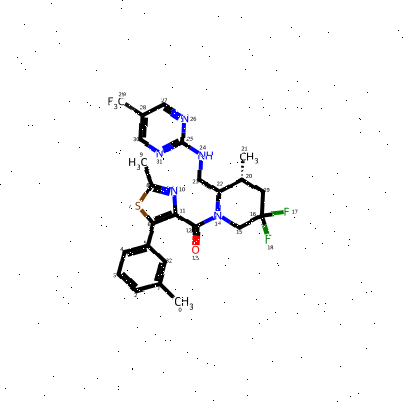 Cc1cccc(-c2sc(C)nc2C(=O)N2CC(F)(F)C[C@@H](C)C2CNc2ncc(C(F)(F)F)cn2)c1